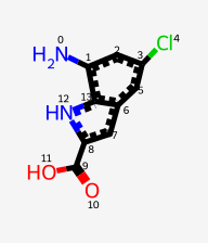 Nc1cc(Cl)cc2cc(C(=O)O)[nH]c12